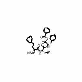 CN[C@@H](CCc1ccccc1)C(=O)N[C@@H](CC(C)C)C(=O)N[C@@H](Cc1ccccc1)C(=O)OC(=O)c1ccccc1